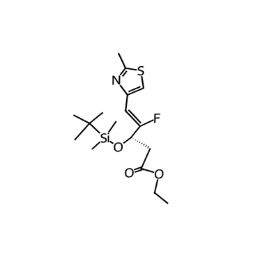 CCOC(=O)C[C@H](O[Si](C)(C)C(C)(C)C)/C(F)=C/c1csc(C)n1